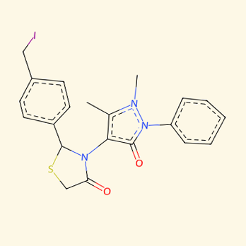 Cc1c(N2C(=O)CSC2c2ccc(CI)cc2)c(=O)n(-c2ccccc2)n1C